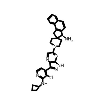 N[C@@H]1c2ccc3ccccc3c2CC12CCN(c1cnc3c(-c4ccnc(NC5CCC5)c4Cl)n[nH]c3n1)CC2